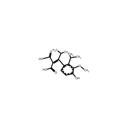 COc1c(O)ccc(C(=C(C(=O)O)C(=O)O)C(C)C)c1C(C)C